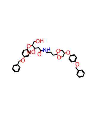 O=C(CC(O)C(CO)Oc1ccc(OCc2ccccc2)cc1)NCCCC1OCC(Oc2ccc(OCc3ccccc3)cc2)CO1